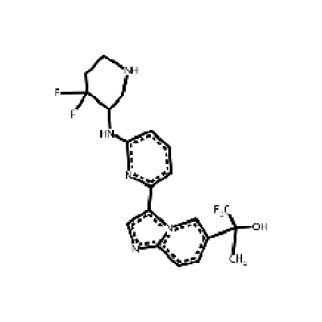 CC(O)(c1ccc2ncc(-c3cccc(NC4CNCCC4(F)F)n3)n2c1)C(F)(F)F